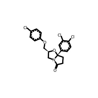 O=C1CC[C@@]2(c3ccc(Cl)c(Cl)c3)O[C@H](COc3ccc(Cl)cc3)CN12